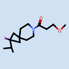 COCCC(=O)N1CCC2(CC1)CC(I)(C(C)C)C2